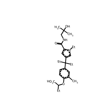 CCC(Oc1ccc(C(CC)(CC)c2cc(C(=O)NCC(C)(C)O)n(CC)c2)cc1C)C(=O)O